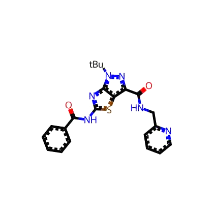 CC(C)(C)n1nc(C(=O)NCc2ccccn2)c2sc(NC(=O)c3ccccc3)nc21